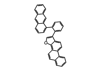 c1ccc(-c2coc3c2ccc2c4ccccc4ccc23)c(-c2cccc3cc4ccccc4cc23)c1